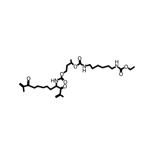 C=C(C)C(=O)CCCCCC(NC(=O)OCCC(C)OC(=O)NCCCCCCNC(=O)OCC)C(=O)C(=C)C